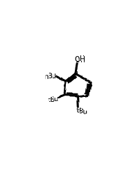 CCCCc1c(O)ccc(C(C)(C)C)c1C(C)(C)C